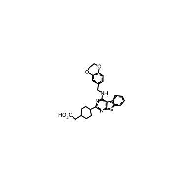 O=C(O)CC1CCC(c2nc(NCc3ccc4c(c3)OCCO4)c3c(n2)sc2ccccc23)CC1